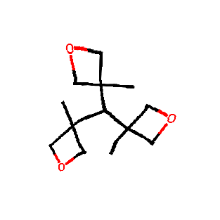 CC1(C(C2(C)COC2)C2(C)COC2)COC1